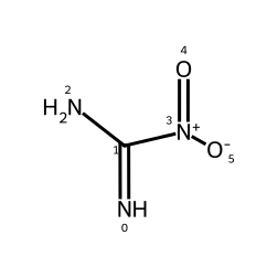 N=C(N)[N+](=O)[O-]